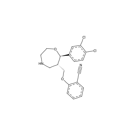 N#Cc1ccccc1OC[C@@H]1CNCCO[C@H]1c1ccc(Cl)c(Cl)c1